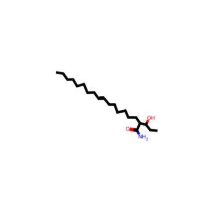 CCCCCCCCC=CCCCCCCC(C(N)=O)C(O)CC